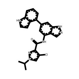 CC(C)n1cc(Cl)c(C(=O)Nc2cc(-c3cccc4[nH]ccc34)cc3[nH]ncc23)n1